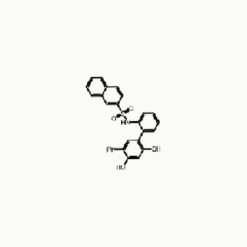 CC(C)c1cc(-c2ccccc2NS(=O)(=O)c2ccc3ccccc3c2)c(O)cc1O